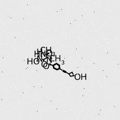 CNC(=O)C(C(=O)NO)N(C)C(=O)c1ccc(C#CC2CC(O)C2)cc1